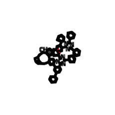 CC1CC2CC3CC(CC23)c2cc(-c3cc(-c4ccccc4)ccc3-c3nc(-c4ccccc4)nc(-c4ccccc4)n3)ccc2-c2cc(-c3ccc(-c4nc(-c5ccccc5)nc(-c5ccccc5)n4)c(-c4ccccc4)c3)ccc21